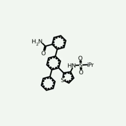 CC(C)S(=O)(=O)Nc1ccsc1-c1cc(-c2ccccc2C(N)=O)ccc1-c1ccccc1